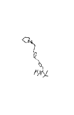 CC(C)(C)C(N)COCCOCCN1CCCC1